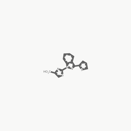 O=C(O)c1csc(-n2nc(-c3cccs3)c3ccccc32)n1